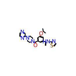 C=C(Nc1nccs1)c1cc(OC(C)C)cc(C(=O)N2CCN(c3cnccn3)CC2)c1